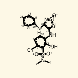 CN(C)S(=O)(=O)c1c(Cl)ccc(Nc2n[s+]([O-])nc2Nc2ccccc2)c1O